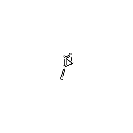 O=P1=P2=PP12